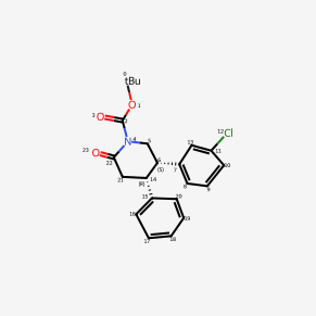 CC(C)(C)OC(=O)N1C[C@H](c2cccc(Cl)c2)[C@H](c2ccccc2)CC1=O